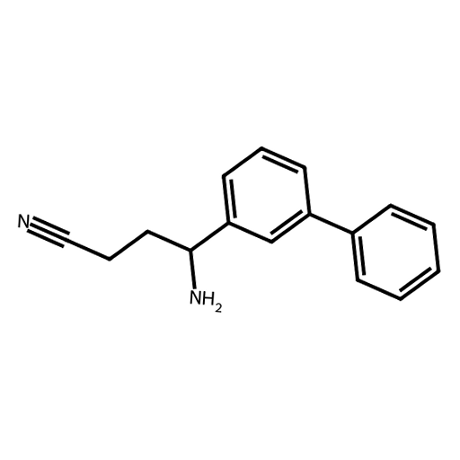 N#CCCC(N)c1cccc(-c2ccccc2)c1